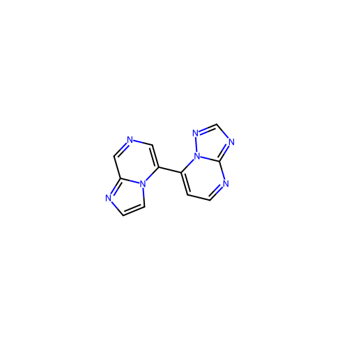 c1cn2c(-c3ccnc4ncnn34)cncc2n1